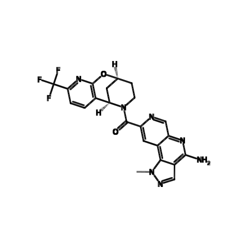 Cn1ncc2c(N)nc3cnc(C(=O)N4CC[C@H]5C[C@@H]4c4ccc(C(F)(F)F)nc4O5)cc3c21